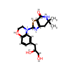 CC1(C)Cc2nc(N3CCOc4ccc(CC(O)CO)cc43)sc2C(=O)N1